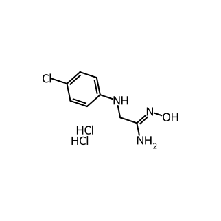 Cl.Cl.NC(CNc1ccc(Cl)cc1)=NO